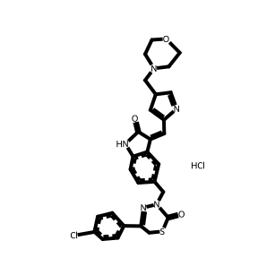 Cl.O=C1Nc2ccc(CN3N=C(c4ccc(Cl)cc4)CSC3=O)cc2C1=CC1=CC(CN2CCOCC2)C=N1